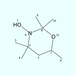 CC1CC(C)(C)N(O)C(C)(C)O1